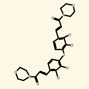 O=C(C=Cc1ccc(Sc2ccc(C=CC(=O)N3CCOCC3)c(Cl)c2Cl)c(Cl)c1Cl)N1CCOCC1